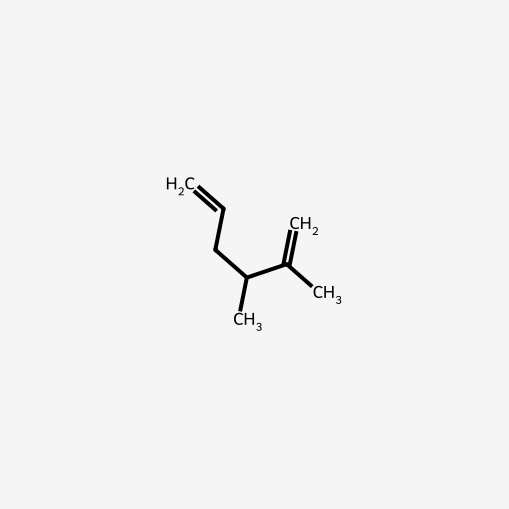 C=CCC(C)C(=C)C